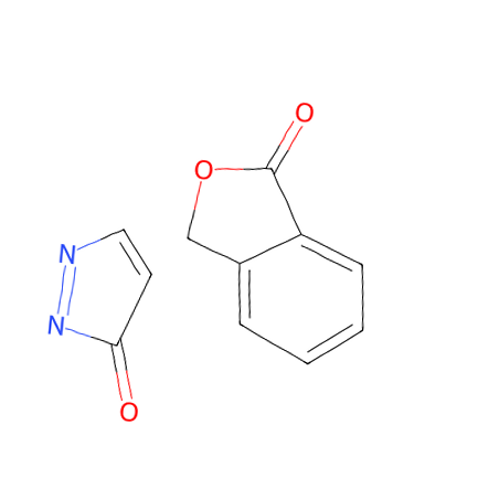 O=C1C=CN=N1.O=C1OCc2ccccc21